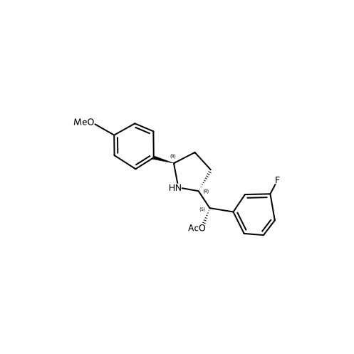 COc1ccc([C@H]2CC[C@H]([C@@H](OC(C)=O)c3cccc(F)c3)N2)cc1